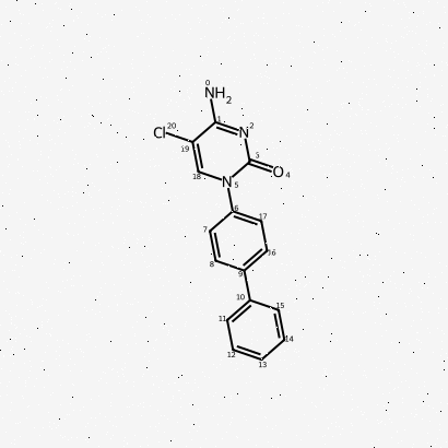 Nc1nc(=O)n(-c2ccc(-c3ccccc3)cc2)cc1Cl